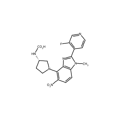 Cn1c(-c2ccncc2F)nc2c(N3CC[C@H](NC(=O)O)C3)c([N+](=O)[O-])ccc21